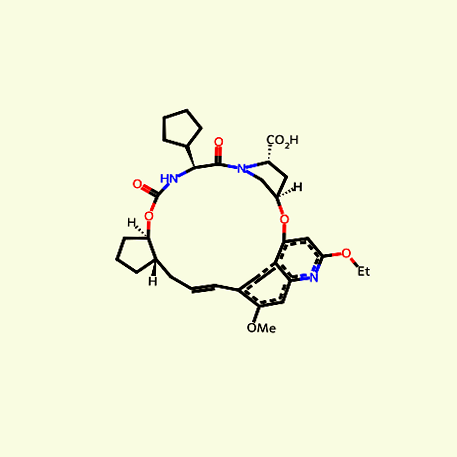 CCOc1cc2c3cc(c(OC)cc3n1)/C=C/C[C@@H]1CCC[C@H]1OC(=O)N[C@@H](C1CCCC1)C(=O)N1C[C@@H](C[C@H]1C(=O)O)O2